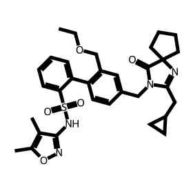 CCOCc1cc(CN2C(=O)C3(CCCC3)N=C2CC2CC2)ccc1-c1ccccc1S(=O)(=O)Nc1noc(C)c1C